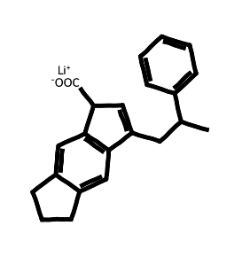 CC(CC1=CC(C(=O)[O-])c2cc3c(cc21)CCC3)c1ccccc1.[Li+]